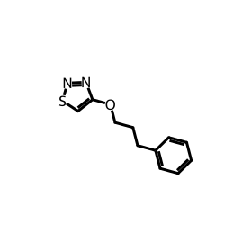 c1ccc(CCCOc2csnn2)cc1